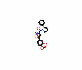 O=C(c1cc(-c2ccc3c(c2)OCO3)on1)N1CCC[C@H]1c1ccccc1